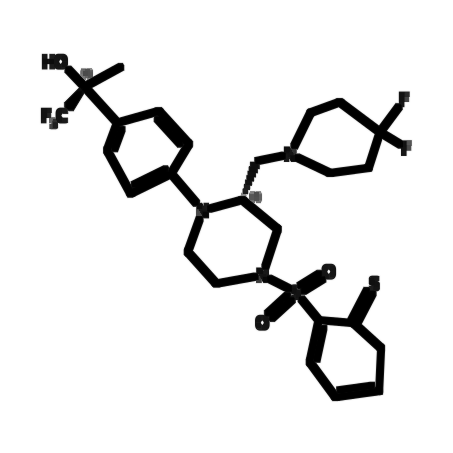 C[C@@](O)(c1ccc(N2CCN(S(=O)(=O)C3=CC=CCC3=S)C[C@H]2CN2CCC(F)(F)CC2)cc1)C(F)(F)F